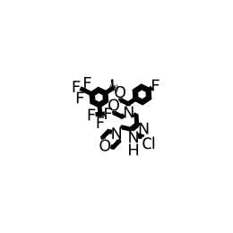 C[C@@H](OC1OCCN(Cc2nc(Cl)[nH]c2CN2CCOCC2)C1c1ccc(F)cc1)c1cc(C(F)(F)F)cc(C(F)(F)F)c1